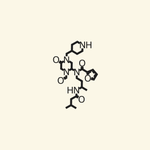 CC(C)CC(=O)NC(C)CCN(C(=O)c1ccco1)C1CN(CC2CCNCC2)C(=O)CN1C=O